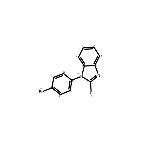 Clc1nc2ccccc2n1-c1ccc(Br)cc1